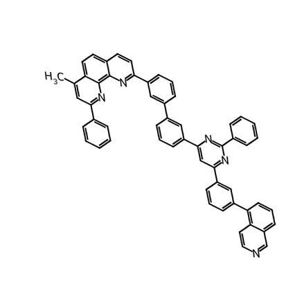 Cc1cc(-c2ccccc2)nc2c1ccc1ccc(-c3cccc(-c4cccc(-c5cc(-c6cccc(-c7cccc8cnccc78)c6)nc(-c6ccccc6)n5)c4)c3)nc12